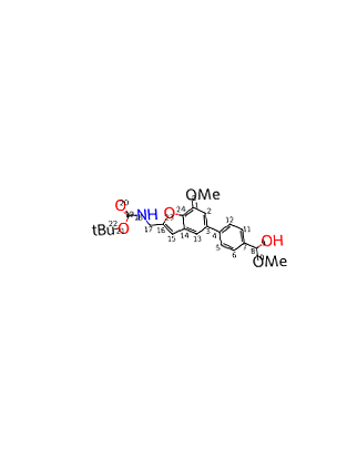 COc1cc(-c2ccc(C(O)OC)cc2)cc2cc(CNC(=O)OC(C)(C)C)oc12